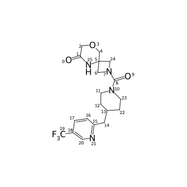 O=C1COCC2(CN(C(=O)N3CCC(Cc4ccc(C(F)(F)F)cn4)CC3)C2)N1